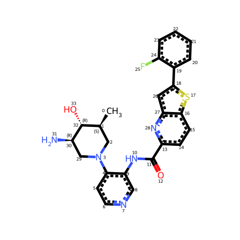 C[C@H]1CN(c2ccncc2NC(=O)c2ccc3sc(-c4ccccc4F)cc3n2)C[C@@H](N)[C@@H]1O